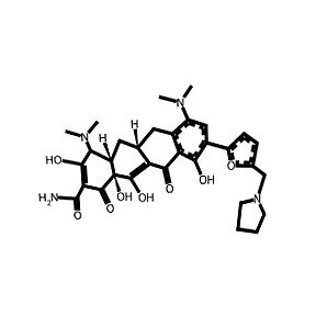 CN(C)c1cc(-c2ccc(CN3CCCC3)o2)c(O)c2c1C[C@H]1C[C@H]3C(N(C)C)C(O)=C(C(N)=O)C(=O)[C@@]3(O)C(O)=C1C2=O